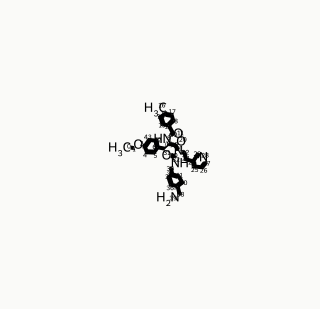 CCOc1ccc(C[C@@H](NC(=O)c2ccc(C)cc2)C(=O)N(CCc2cccnc2)C(=O)NCc2ccc(CN)cc2)cc1